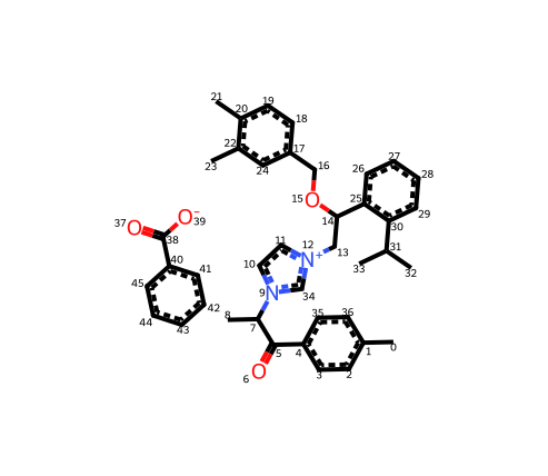 Cc1ccc(C(=O)C(C)n2cc[n+](CC(OCc3ccc(C)c(C)c3)c3ccccc3C(C)C)c2)cc1.O=C([O-])c1ccccc1